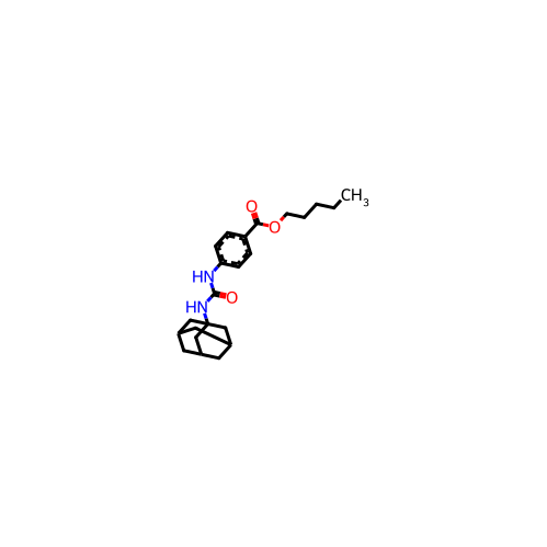 CCCCCOC(=O)c1ccc(NC(=O)NC23CC4CC(CC(C4)C2)C3)cc1